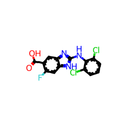 O=C(O)c1cc2nc(Nc3c(Cl)cccc3Cl)[nH]c2cc1F